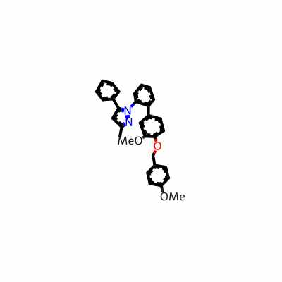 COc1ccc(COc2ccc(-c3ccccc3-n3nc(C)cc3-c3ccccc3)cc2OC)cc1